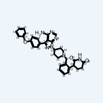 Nc1ncnc2c1c(-c1ccc(Oc3ccccc3)cc1)nn2C1CCN(Cc2ccccc2C2CCC(=O)NC2=O)CC1